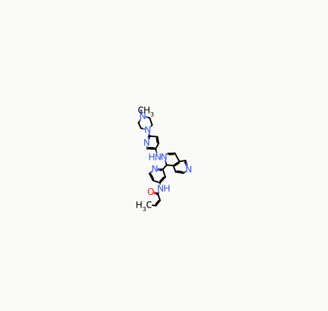 C/C=C\C(=O)Nc1ccnc(C2c3ccncc3C=CN2Nc2ccc(N3CCN(C)CC3)nc2)c1